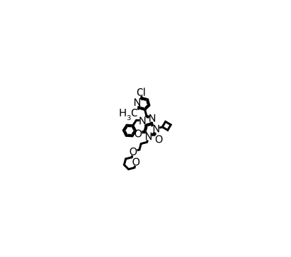 Cc1nc(Cl)ccc1-c1nc2c(c(=O)n(CCCOC3CCCCO3)c(=O)n2C2CCC2)n1Cc1ccccc1